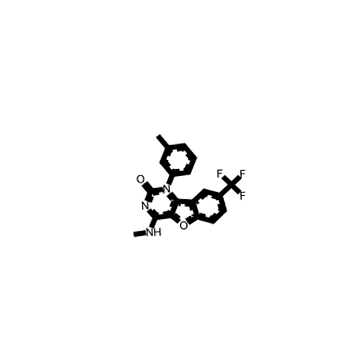 CNc1nc(=O)n(-c2cccc(C)c2)c2c1oc1ccc(C(F)(F)F)cc12